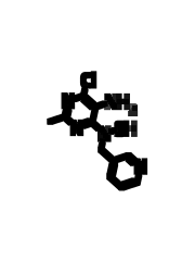 Cc1nc(Cl)c(N)c(N(S)Cc2cccnc2)n1